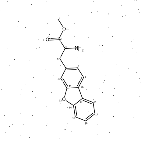 COC(=O)C(N)Cc1ccc2c(c1)oc1ccccc12